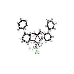 CC1=Cc2c(-c3ccccc3)cccc2[CH]1[Zr+2]([CH3])([CH3])([SiH3])[CH]1C(C)=Cc2c(-c3ccccc3)cccc21.[Cl-].[Cl-]